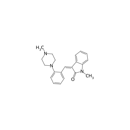 CN1CCN(c2ccccc2C=C2C(=O)N(C)c3ccccc32)CC1